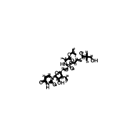 CC(C)OC(=O)[C@H](C)NP(=O)(OCCSC(=O)C(C)(C)CO)OC[C@H]1O[C@@H](n2ccc(=O)[nH]c2=O)[C@H](O)[C@@H]1CF